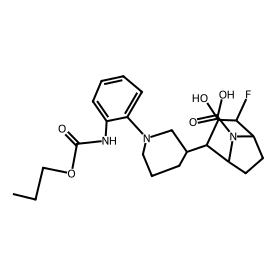 CCCOC(=O)Nc1ccccc1N1CCCC(C2C(O)C(F)C3CCC2N3C(=O)O)C1